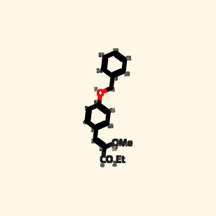 CCOC(=O)/C(=C/c1ccc(OCc2ccccc2)cc1)OC